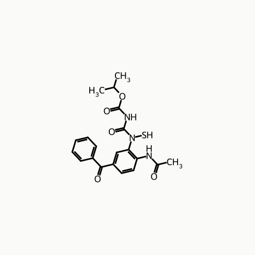 CC(=O)Nc1ccc(C(=O)c2ccccc2)cc1N(S)C(=O)NC(=O)OC(C)C